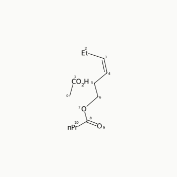 CC(=O)O.CC/C=C\CCOC(=O)CCC